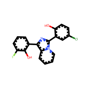 Oc1ccc(Cl)cc1-c1nc(-c2cccc(F)c2O)c2ccccn12